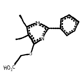 Cc1nc(-c2ccccc2)nc(OCC(=O)O)c1C